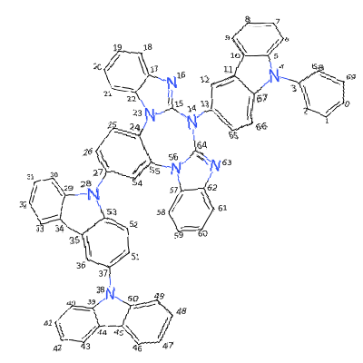 c1ccc(-n2c3ccccc3c3cc(-n4c5nc6ccccc6n5c5ccc(-n6c7ccccc7c7cc(-n8c9ccccc9c9ccccc98)ccc76)cc5n5c6ccccc6nc45)ccc32)cc1